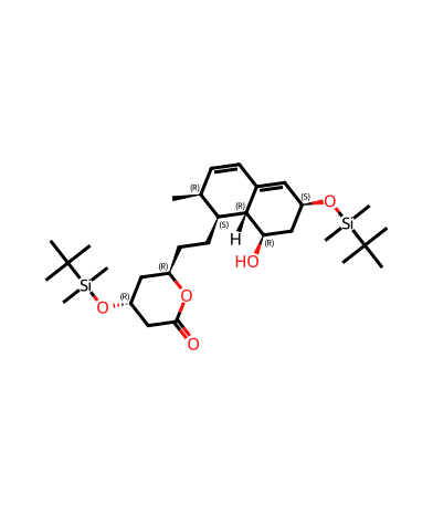 C[C@H]1C=CC2=C[C@@H](O[Si](C)(C)C(C)(C)C)C[C@@H](O)[C@@H]2[C@H]1CC[C@@H]1C[C@@H](O[Si](C)(C)C(C)(C)C)CC(=O)O1